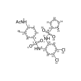 CC(=O)Nc1ccc(S(=O)(=O)Nc2cc(Cl)c(Cl)cc2NS(=O)(=O)c2cccs2)cc1C